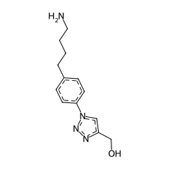 NCCCCc1ccc(-n2cc(CO)nn2)cc1